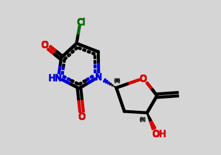 C=C1O[C@@H](n2cc(Cl)c(=O)[nH]c2=O)C[C@@H]1O